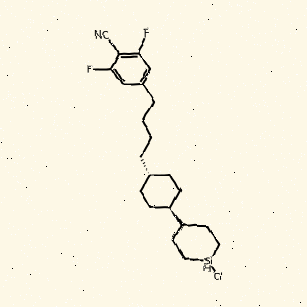 N#Cc1c(F)cc(CCCC[C@H]2CC[C@H](C3CC[SiH](Cl)CC3)CC2)cc1F